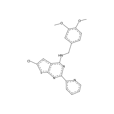 COc1ccc(CNc2nc(-c3ccccn3)nc3sc(Cl)cc23)cc1OC